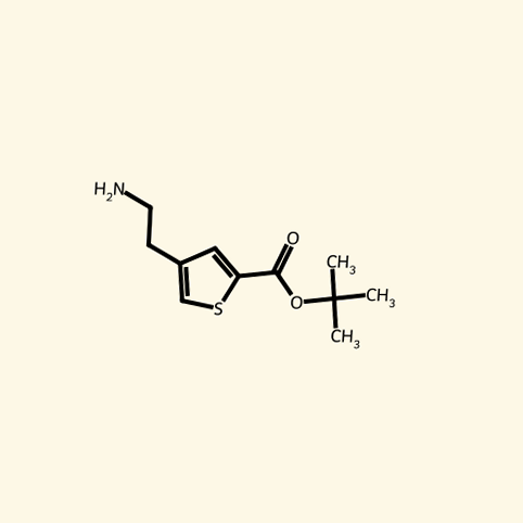 CC(C)(C)OC(=O)c1cc(CCN)cs1